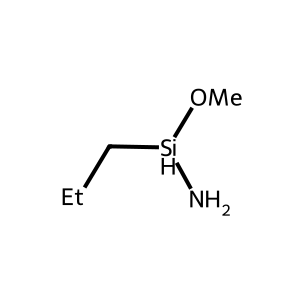 CCC[SiH](N)OC